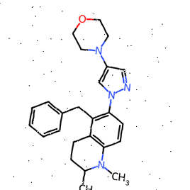 CC1CCc2c(ccc(-n3cc(N4CCOCC4)cn3)c2Cc2ccccc2)N1C